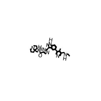 CCNCc1cncc(-c2ccc3[nH]nc(-c4ncc(C(=O)NCC56CCCN5CCC6)[nH]4)c3c2)c1C